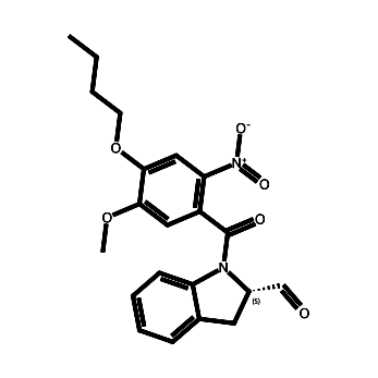 CCCCOc1cc([N+](=O)[O-])c(C(=O)N2c3ccccc3C[C@H]2C=O)cc1OC